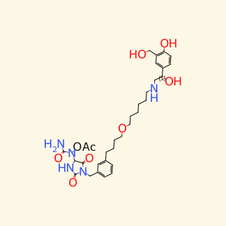 CC(=O)ON(C(N)=O)C1NC(=O)N(Cc2cccc(CCCCOCCCCCCNC[C@@H](O)c3ccc(O)c(CO)c3)c2)C1=O